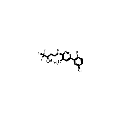 CN(CCC(O)C(F)(F)F)c1nnc(-c2cc(Cl)ccc2F)cc1N